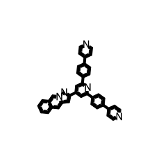 c1ccc2cn3nc(-c4cc(-c5ccc(-c6ccncc6)cc5)nc(-c5ccc(-c6ccncc6)cc5)c4)cc3cc2c1